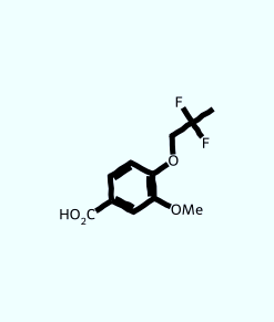 COc1cc(C(=O)O)ccc1OCC(C)(F)F